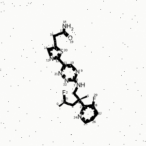 C[C@@H](F)C[C@](C)(CNc1ncc(-c2ncc(CC(N)=O)s2)nn1)c1ncccc1F